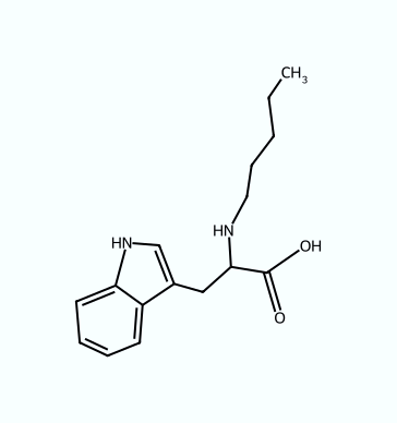 CCCCCNC(Cc1c[nH]c2ccccc12)C(=O)O